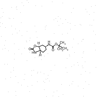 CC(C)(C)OC(=O)N[C@H]1CC[C@@H]2NC(=O)O[C@H]2C1